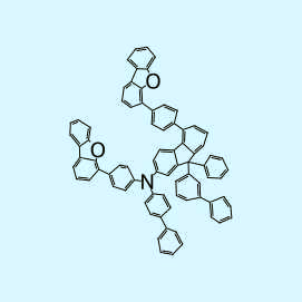 c1ccc(-c2ccc(N(c3ccc(-c4cccc5c4oc4ccccc45)cc3)c3ccc4c(c3)C(c3ccccc3)(c3cccc(-c5ccccc5)c3)c3cccc(-c5ccc(-c6cccc7c6oc6ccccc67)cc5)c3-4)cc2)cc1